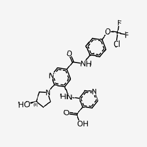 O=C(Nc1ccc(OC(F)(F)Cl)cc1)c1cnc(N2CC[C@@H](O)C2)c(Nc2cnccc2C(=O)O)c1